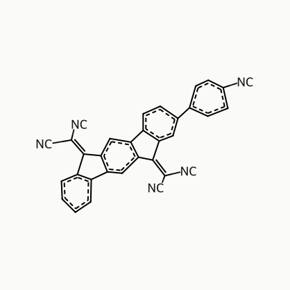 [C-]#[N+]/C(C#N)=C1/c2ccccc2-c2cc3c(cc21)-c1ccc(-c2ccc([N+]#[C-])cc2)cc1/C3=C(/C#N)[N+]#[C-]